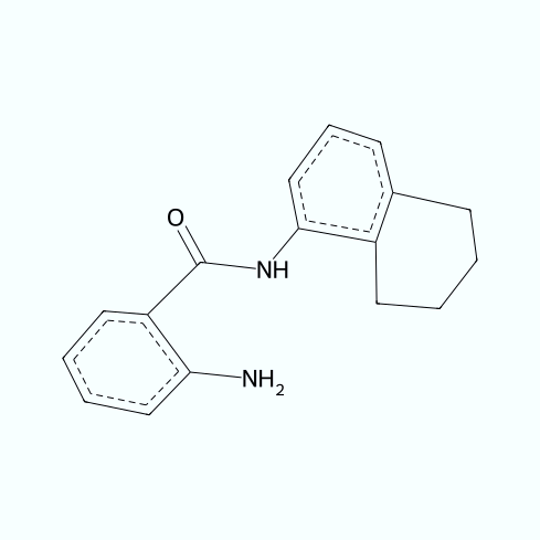 Nc1ccccc1C(=O)Nc1cccc2c1CCCC2